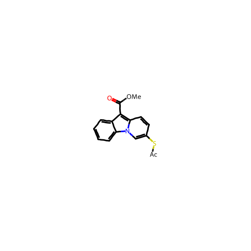 COC(=O)c1c2ccccc2n2cc(SC(C)=O)ccc12